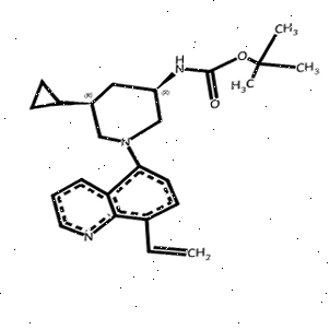 C=Cc1ccc(N2C[C@H](NC(=O)OC(C)(C)C)C[C@H](C3CC3)C2)c2cccnc12